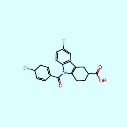 O=C(O)C1CCc2c(c3cc(F)ccc3n2C(=O)C2=CCC(Cl)C=C2)C1